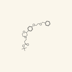 CC(C)(C)OC(=O)CCN1CCOC(c2ccc(OCCOCc3ccccc3)cc2)C1